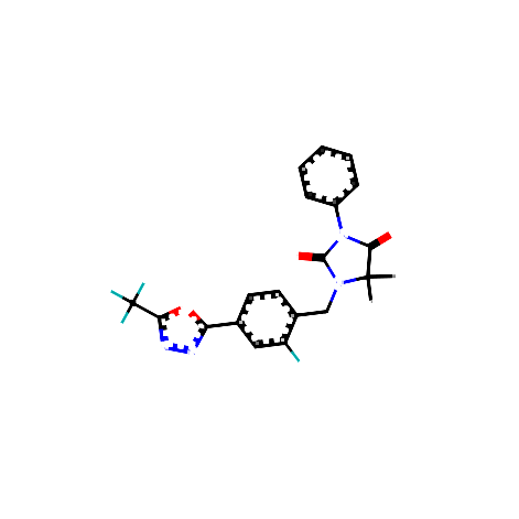 CC1(C)C(=O)N(c2ccccc2)C(=O)N1Cc1ccc(-c2nnc(C(F)(F)F)o2)cc1F